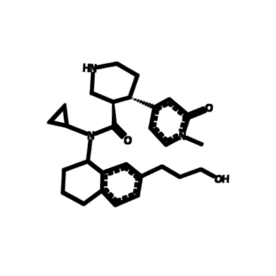 Cn1ccc([C@H]2CCNC[C@@H]2C(=O)N(C2CC2)C2CCCc3ccc(CCCO)cc32)cc1=O